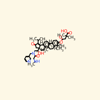 CNCC(=O)N(Cc1cccnc1)C[C@H](O)[C@@]12CC[C@]3(C)[C@H](CC[C@@H]4[C@@]5(C)CC[C@H](OC(=O)CC(C)(C)C(=O)O)C(C)(C)[C@@H]5CC[C@]43C)C1=C(C(C)C)C(=O)C2